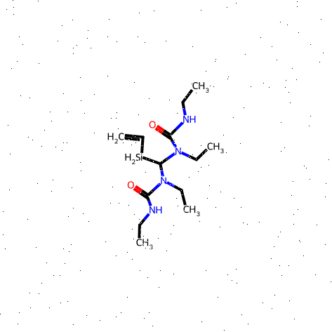 C=C[SiH2]C(N(CC)C(=O)NCC)N(CC)C(=O)NCC